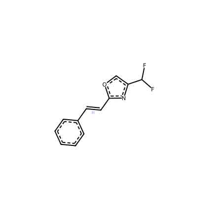 FC(F)c1coc(/C=C/c2ccccc2)n1